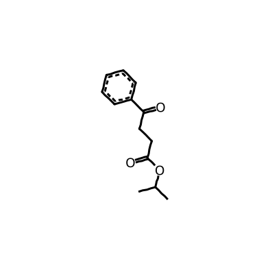 CC(C)OC(=O)CCC(=O)c1ccccc1